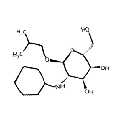 CC(C)CO[C@H]1O[C@H](CO)[C@@H](O)[C@@H](O)[C@@H]1NC1CCCCC1